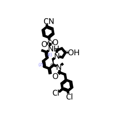 C=C(/C=C\C=C(/C)NS(=O)(=O)c1ccc(C#N)cc1)[C@@H](CN1CC[C@@H](O)C1)N(C)C(=O)Cc1ccc(Cl)c(Cl)c1